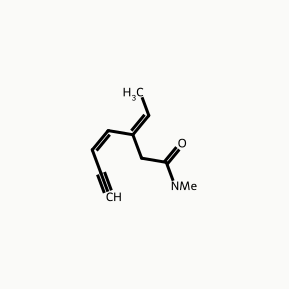 C#C/C=C\C(=C/C)CC(=O)NC